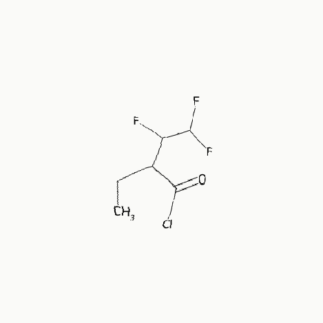 CCC(C(=O)Cl)C(F)C(F)F